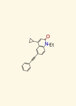 CCn1c(=O)cc(C2CC2)c2cc(C#Cc3ccccc3)ccc21